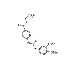 COc1ccc(CC(=O)Nc2ccc(C(=O)CCC(=O)O)cc2)cc1OC